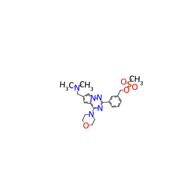 CN(C)Cc1cc2c(N3CCOCC3)nc(-c3cccc(COS(C)(=O)=O)c3)nn2c1